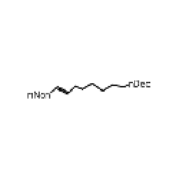 [CH2]CCCCCCCC/C=C/CCCCCCCCCCCCCCC[CH2]